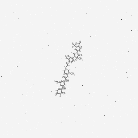 CCc1cc(N2C(=S)N(c3ccc(C#N)c(C(F)(F)F)c3)C(=O)C2(C)C)ccc1OCCN1CCN(CC(=O)Nc2cc(C#N)cc(NC3CCC(=O)NC3=O)c2)C(C)C1